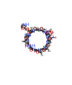 C/C=C/C[C@@H](C)[C@@H](OC(C)=O)[C@H]1C(=O)N[C@@H](CC)C(=O)N(C)[C@H](C)C(=O)N(C)[C@@H]([C@H](C)COCC2CNCCO2)C(=O)N[C@@H](C(C)C)C(=O)N(C)[C@@H](CC(C)C)C(=O)N[C@@H](C)C(=O)N[C@H](C)C(=O)N(C)[C@@H](CC(C)C)C(=O)N(C)[C@@H](CC(C)C)C(=O)N(C)[C@@H](C(C)C)C(=O)N1C